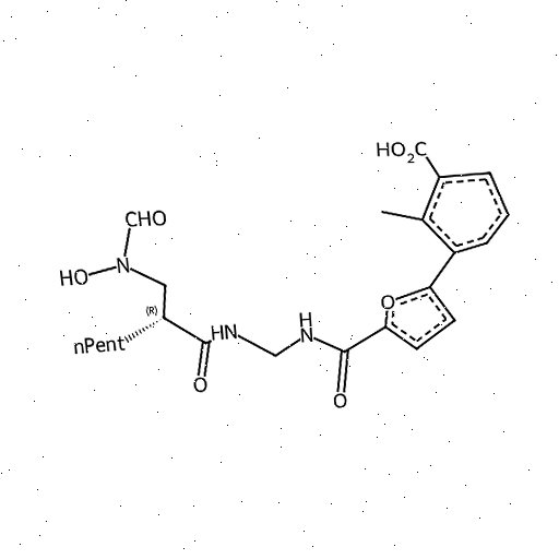 CCCCC[C@H](CN(O)C=O)C(=O)NCNC(=O)c1ccc(-c2cccc(C(=O)O)c2C)o1